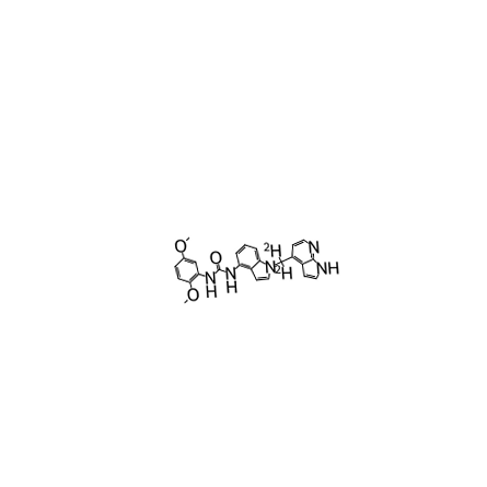 [2H]C([2H])(c1ccnc2[nH]ccc12)n1ccc2c(NC(=O)Nc3cc(OC)ccc3OC)cccc21